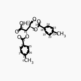 Cc1ccc(C(=O)O[C@H](C(=O)O)[C@@H](C=O)OC(=O)c2ccc(C)cc2)cc1